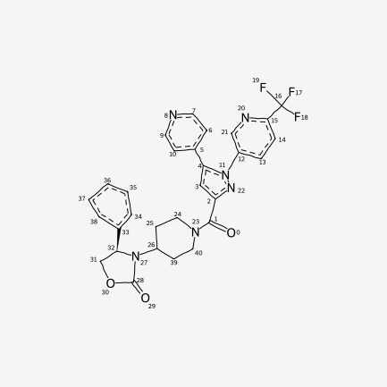 O=C(c1cc(-c2ccncc2)n(-c2ccc(C(F)(F)F)nc2)n1)N1CCC(N2C(=O)OC[C@H]2c2ccccc2)CC1